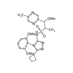 COc1cccc(OC)c1-n1c(NS(=O)(=O)C(C)C(OC)c2cnc(C)cn2)nnc1C1CCC1